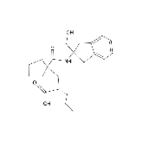 CCC[C@@H](CC1(C(=O)NC2(CO)Cc3ccccc3C2)CCCC1)C(=O)O